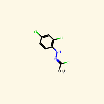 O=C(O)C(Cl)=NNc1ccc(Cl)cc1Cl